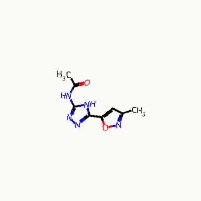 CC(=O)Nc1nnc(-c2cc(C)no2)[nH]1